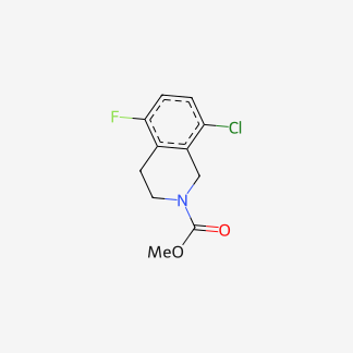 COC(=O)N1CCc2c(F)ccc(Cl)c2C1